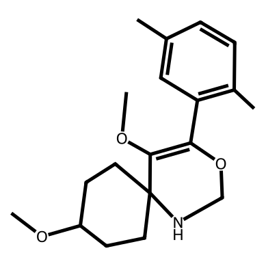 COC1=C(c2cc(C)ccc2C)OCNC12CCC(OC)CC2